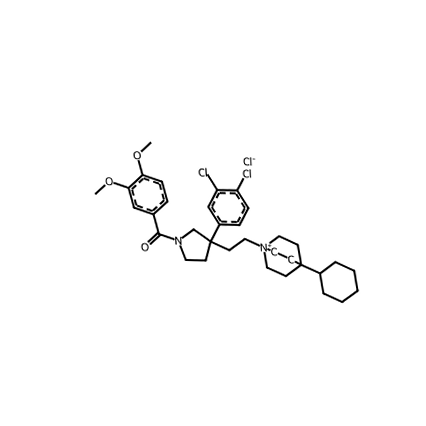 COc1ccc(C(=O)N2CCC(CC[N+]34CCC(C5CCCCC5)(CC3)CC4)(c3ccc(Cl)c(Cl)c3)C2)cc1OC.[Cl-]